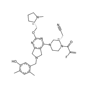 C=C(F)C(=O)N1CCN(c2nc(OC[C@@H]3CCCN3C)nc3c2CN(Cc2cc(O)c(C)cc2C)C3)C[C@@H]1CC#N